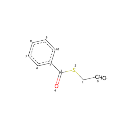 O=[C]CSC(=O)c1ccccc1